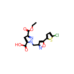 CCOC(=O)c1cc(C(=O)O)n(Cc2cc(-c3ccc(Cl)s3)on2)n1